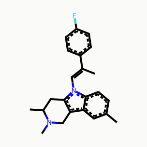 C/C(=C\n1c2c(c3cc(C)ccc31)CN(C)C(C)C2)c1ccc(F)cc1